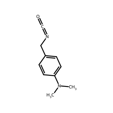 CN(C)c1ccc(CN=C=O)cc1